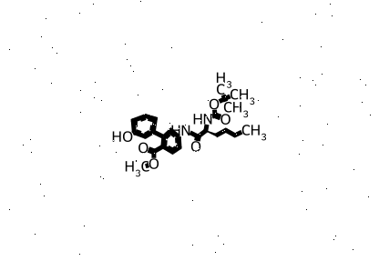 CCCC[C@H](NC(=O)OC(C)(C)C)C(=O)Nc1ccc(C(=O)OC)c(-c2cccc(O)c2)c1